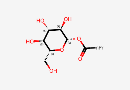 CCCC(=O)O[C@@H]1O[C@H](CO)[C@@H](O)[C@H](O)[C@H]1O